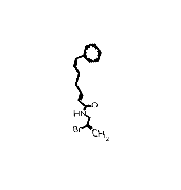 C=C(Br)CNC(=O)/C=C/CC/C=C\c1ccccc1